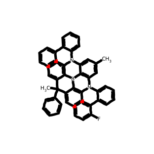 Cc1cc2c3c(c1)N(c1ccccc1-c1ccccc1F)c1cccc4c1B3c1c(cccc1C4(C)c1ccccc1)N2c1ccccc1-c1ccccc1F